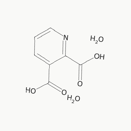 O.O.O=C(O)c1cccnc1C(=O)O